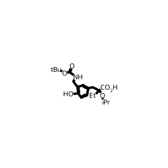 CCC(Cc1ccc(O)c(CNC(=O)OC(C)(C)C)c1)(OC(C)C)C(=O)O